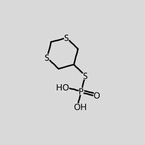 O=P(O)(O)SC1CSCSC1